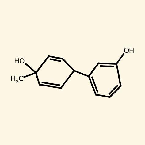 CC1(O)C=CC(c2cccc(O)c2)C=C1